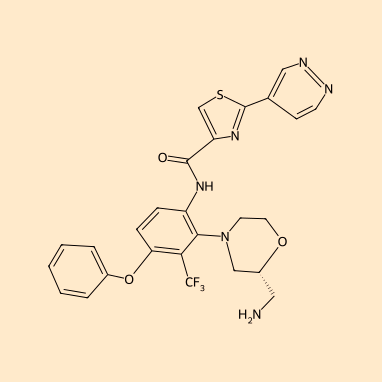 NC[C@@H]1CN(c2c(NC(=O)c3csc(-c4ccnnc4)n3)ccc(Oc3ccccc3)c2C(F)(F)F)CCO1